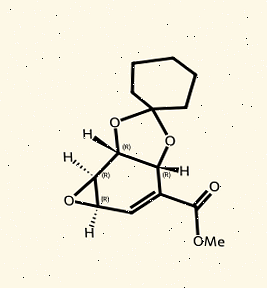 COC(=O)C1=C[C@H]2O[C@H]2[C@@H]2OC3(CCCCC3)O[C@H]12